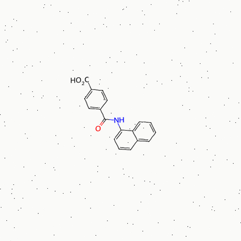 O=C(O)c1ccc(C(=O)Nc2cccc3ccccc23)cc1